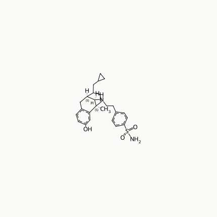 C[C@]12CCC(CC3CC3)[C@H](Cc3ccc(O)cc31)[C@H]2NCCc1ccc(S(N)(=O)=O)cc1